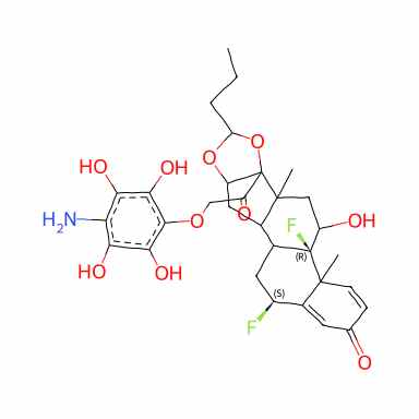 CCCC1OC2CC3C4C[C@H](F)C5=CC(=O)C=CC5(C)[C@@]4(F)C(O)CC3(C)C2(C(=O)COc2c(O)c(O)c(N)c(O)c2O)O1